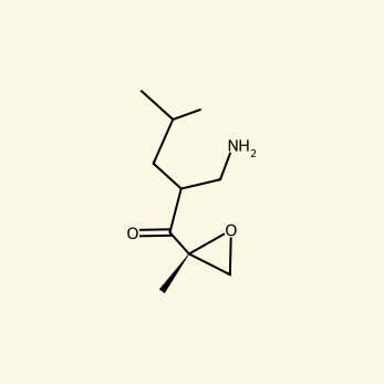 CC(C)CC(CN)C(=O)[C@@]1(C)CO1